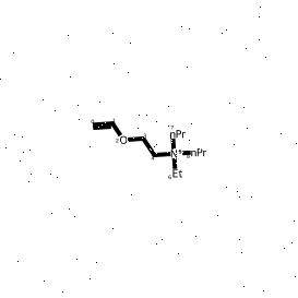 C=COCC[N+](CC)(CCC)CCC